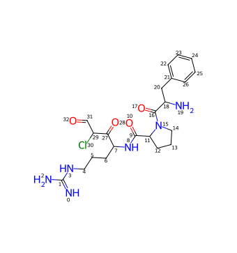 N=C(N)NCCCC(NC(=O)C1CCCN1C(=O)C(N)Cc1ccccc1)C(=O)C(Cl)C=O